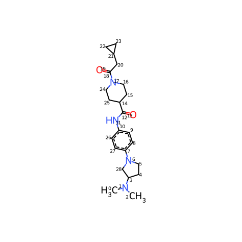 CN(C)C1CCN(c2ccc(NC(=O)C3CCN(C(=O)CC4CC4)CC3)cc2)C1